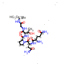 CC[C@H](C)[C@H](NC(=O)CNC(=O)[C@@H](NC(=O)[C@@H]1CCCN1C(=O)[C@H](CC(N)=O)NC(=O)[C@@H](N)CCC(N)=O)[C@@H](C)O)C(=O)O